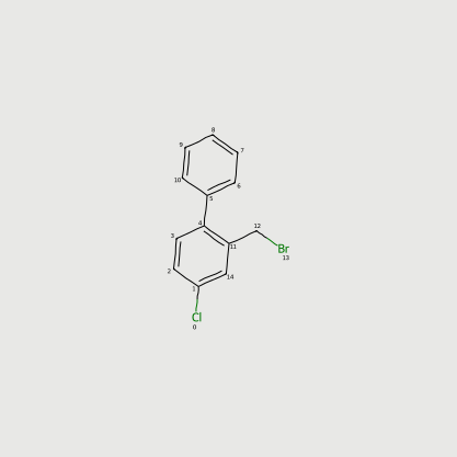 Clc1ccc(-c2ccccc2)c(CBr)c1